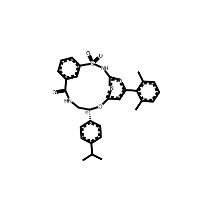 Cc1cccc(C)c1-c1cc2nc(n1)NS(=O)(=O)c1cccc(c1)C(=O)NC[C@@H](c1ccc(C(C)C)cc1)O2